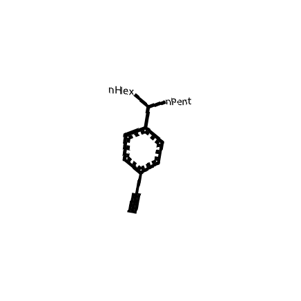 C#Cc1ccc(C(CCCCC)CCCCCC)cc1